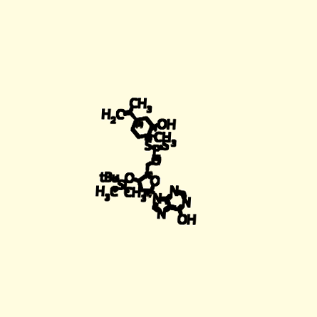 C=C(C)[C@@H]1CC[C@](C)(S[PH](=S)OC[C@H]2O[C@@H](n3cnc4c(O)ncnc43)CC2O[Si](C)(C)C(C)(C)C)[C@@H](O)C1